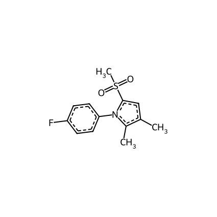 Cc1cc(S(C)(=O)=O)n(-c2ccc(F)cc2)c1C